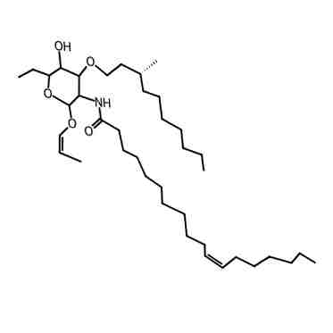 C/C=C\OC1OC(CC)C(O)C(OCC[C@H](C)CCCCCCC)C1NC(=O)CCCCCCCCC/C=C\CCCCCC